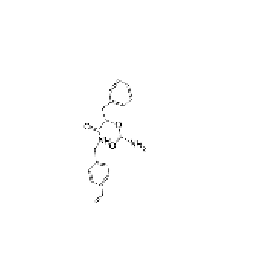 C=Cc1ccc(CNC(=O)C(Cc2ccccc2)OC(N)=O)cc1